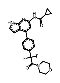 O=C(Nc1cc(-c2ccc(C(F)(F)C(=O)N3CCOCC3)cc2)c2cc[nH]c2n1)C1CC1